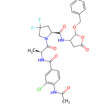 CC(=O)Nc1ccc(C(=O)N[C@@H](C)C(=O)N2CC(F)(F)C[C@H]2C(=O)NC2CC(=O)OC2OCc2ccccc2)cc1Cl